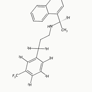 [2H]c1c([2H])c(C(F)(F)F)c([2H])c(C([2H])([2H])CCN[C@]([2H])(C)c2cccc3ccccc23)c1[2H]